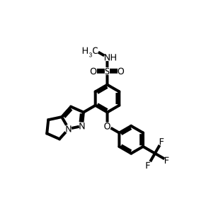 CNS(=O)(=O)c1ccc(Oc2ccc(C(F)(F)F)cc2)c(-c2cc3n(n2)CCC3)c1